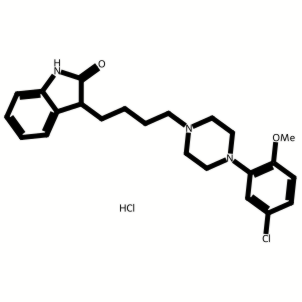 COc1ccc(Cl)cc1N1CCN(CCCCC2C(=O)Nc3ccccc32)CC1.Cl